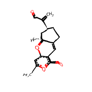 C=C(C=O)[C@H]1CCC2=Cc3c(cc(C)oc3=O)O[C@H]2C1